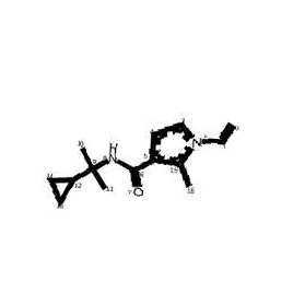 C=Cn1ccc(C(=O)NC(C)(C)C2CC2)c1C